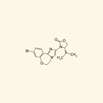 CC(C)[C@@H]1COC(=O)N1c1cn2c(n1)-c1ccc(Br)cc1OCC2